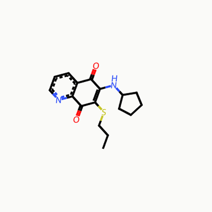 CCCSC1=C(NC2CCCC2)C(=O)c2cccnc2C1=O